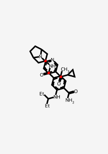 CCC(CC)Nc1cc(C(=O)NC2CC3CCC(C2)N3c2ccc(C(=O)C3CC3)cn2)c(C)cc1C(N)=O